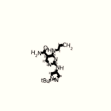 C=CCNc1nc(Nc2cnn(C(C)(C)C)c2)ncc1C(N)=O